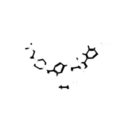 COc1ccc(-c2cnc(C(=O)Nc3ccc(C(=O)N4CCN(C(=O)CN(C)C)CC4)c(Cl)c3)n2C)c(F)c1F.O=C(O)C(F)(F)F